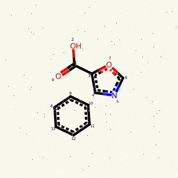 O=C(O)c1cnco1.c1ccccc1